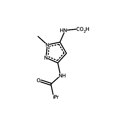 CC(C)C(=O)Nc1cc(NC(=O)O)n(C)n1